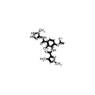 Cc1cn(C)nc1C(=O)Nc1c(OC(F)F)ccc(C(=O)NC2=NNNN2C)c1Cl